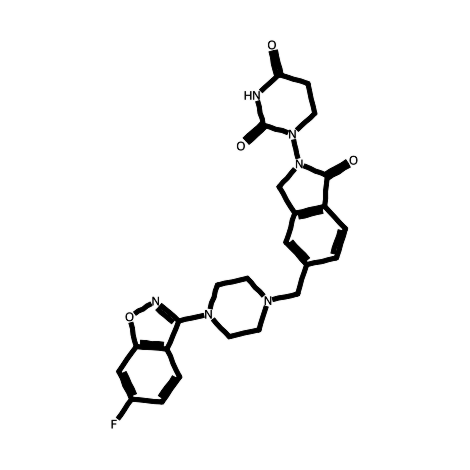 O=C1CCN(N2Cc3cc(CN4CCN(c5noc6cc(F)ccc56)CC4)ccc3C2=O)C(=O)N1